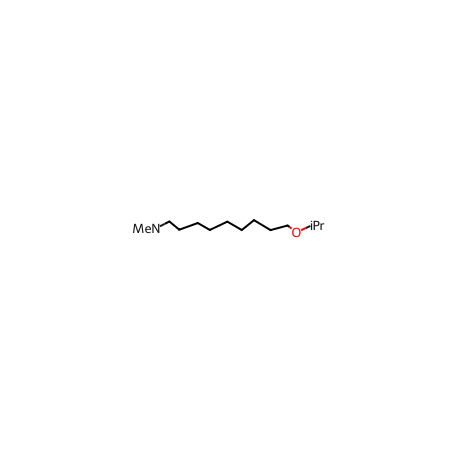 CNCCCCCCCCCOC(C)C